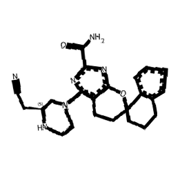 N#CC[C@H]1CN(c2nc(C(N)=O)nc3c2CCC2(CCCc4ccccc42)O3)CCN1